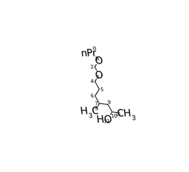 CCCOCOCCCC(C)CC(C)O